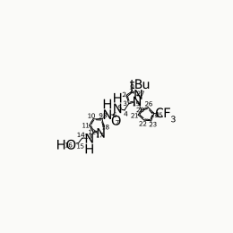 CC(C)(C)c1cc(CNC(=O)Nc2ccc(NCCO)nc2)n(-c2cccc(C(F)(F)F)c2)n1